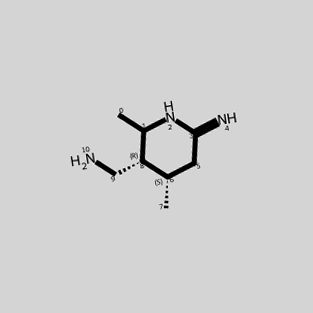 CC1NC(=N)C[C@H](C)[C@@H]1CN